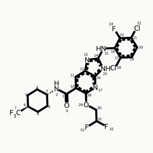 O=C(N[C@H]1CC[C@H](C(F)(F)F)CC1)c1cc2nc(Nc3c(Cl)ccc(Cl)c3F)[nH]c2nc1OCC(F)F